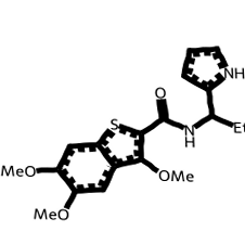 CCC(NC(=O)c1sc2cc(OC)c(OC)cc2c1OC)c1ccc[nH]1